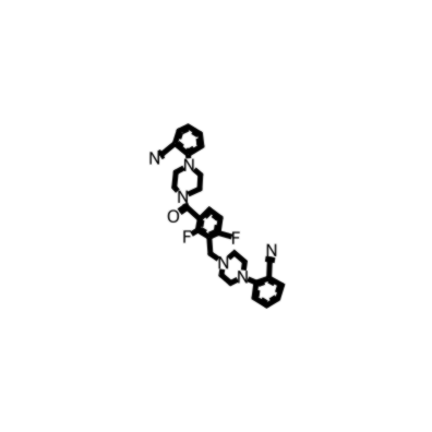 N#Cc1ccccc1N1CCN(Cc2c(F)ccc(C(=O)N3CCN(c4ccccc4C#N)CC3)c2F)CC1